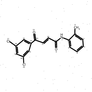 Cc1ccccc1NC(=O)C=CC(=O)c1cc(Cl)cc(Cl)c1